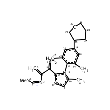 C=C(/N=C\NC)C(=C)c1ncc(C)n1-c1c(C)cc(C2CCCCC2)cc1C